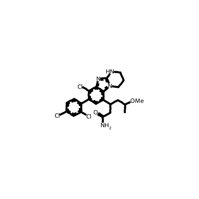 COC(C)CC(CC(N)=O)c1cc(-c2ccc(Cl)cc2Cl)c(Cl)c2nc3n(c12)CCCN3